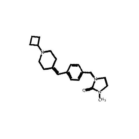 CN1CCN(Cc2ccc(C=C3CCN(C4CCC4)CC3)cc2)C1=O